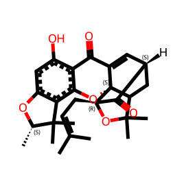 CC(C)=CC[C@@]12OC(C)(C)C3C[C@@H](C=C4C(=O)c5c(O)cc6c(c5O[C@]431)C(C)(C)[C@H](C)O6)C2=O